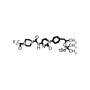 CC(Cc1ccc(-n2ccc(NC(=O)N3CCN(C(=O)C(F)(F)F)CC3)nc2=O)cc1)O[Si](C)(C)C(C)(C)C